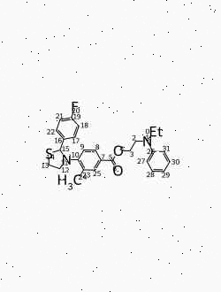 CCN(CCOC(=O)c1ccc(N2CCSC2c2ccc(F)cc2)c(C)c1)c1ccccc1